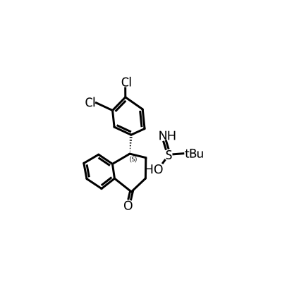 CC(C)(C)S(=N)O.O=C1CC[C@@H](c2ccc(Cl)c(Cl)c2)c2ccccc21